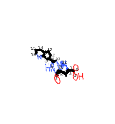 O=C(O)c1cc2c(=O)[nH]c(-c3ccc4cccnc4c3)cn2n1